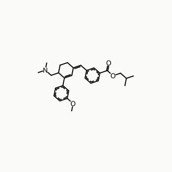 COc1cccc(C2=CC(=Cc3cccc(C(=O)OCC(C)C)c3)CCC2CN(C)C)c1